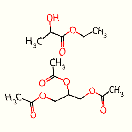 CC(=O)OCC(COC(C)=O)OC(C)=O.CCOC(=O)C(C)O